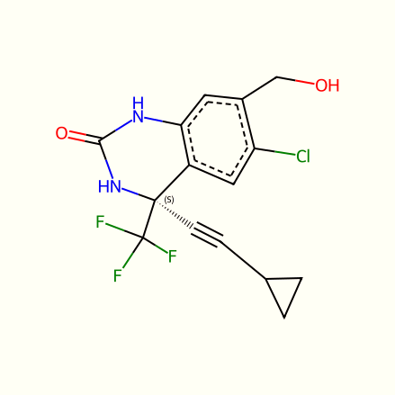 O=C1Nc2cc(CO)c(Cl)cc2[C@@](C#CC2CC2)(C(F)(F)F)N1